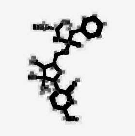 CCOC(=O)[C@H](C)NP(=O)(OC[C@H]1O[C@@H](n2ccc(NC)nc2=O)[C@](C)(O)C1O)Oc1ccccc1